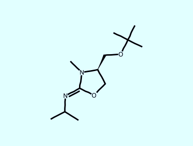 CC(C)/N=C1\OC[C@H](COC(C)(C)C)N1C